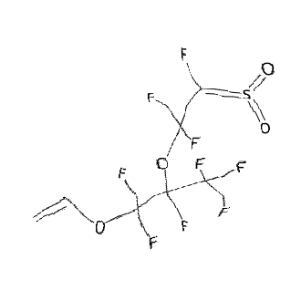 C=COC(F)(F)C(F)(OC(F)(F)C(F)=S(=O)=O)C(F)(F)F